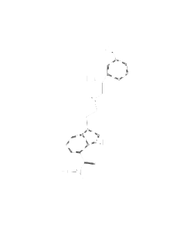 CCN(CC)C(=O)c1cccc2c(CCNC[C@H](O)c3cccc(Cl)c3)c[nH]c12